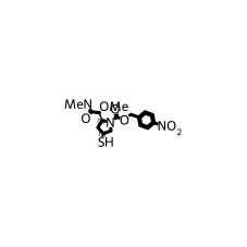 CNC(=O)C(OC)[C@@H]1C[C@H](S)CN1C(=O)OCc1ccc([N+](=O)[O-])cc1